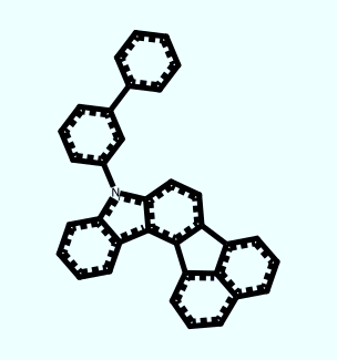 c1ccc(-c2cccc(-n3c4ccccc4c4c5c(ccc43)-c3cccc4cccc-5c34)c2)cc1